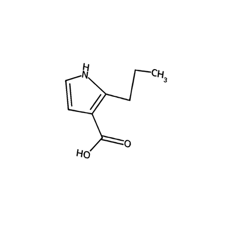 CCCc1[nH]ccc1C(=O)O